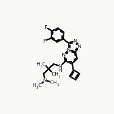 CN(C)CC(C)(C)CNc1nn2c(-c3ccc(F)c(F)c3)nnc2cc1C1=CC=C1